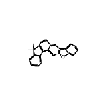 CC1(C)c2ccccc2-c2c1ccc1cc3c(cc21)oc1ccccc13